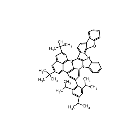 CC(C)c1cc(C(C)C)c(-c2cc3c4c(c2)-n2c5ccccc5n5c6c(ccc7c8ccccc8oc76)c(c25)B4c2cc(C(C)(C)C)cc4cc(C(C)(C)C)cc-3c24)c(C(C)C)c1